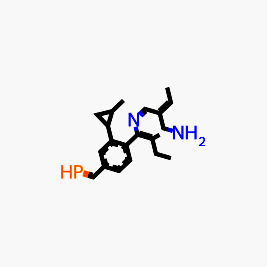 C\C=C(/C=N\C(=C(/C)CC)c1ccc(C=P)cc1C1CC1C)CN